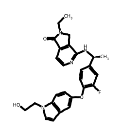 CCN1Cc2c(ccnc2N[C@@H](C)c2ccc(Oc3ccc4c(ccn4CCO)c3)c(F)c2)C1=O